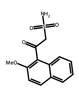 COc1ccc2ccccc2c1C(=O)CS(N)(=O)=O